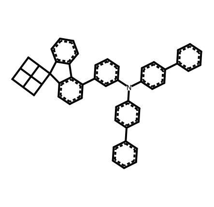 c1ccc(-c2ccc(N(c3ccc(-c4ccccc4)cc3)c3cccc(-c4cccc5c4-c4ccccc4C54C5CC6CC7CC4C675)c3)cc2)cc1